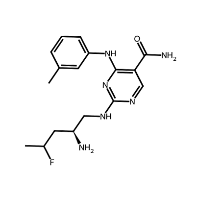 Cc1cccc(Nc2nc(NC[C@@H](N)CC(C)F)ncc2C(N)=O)c1